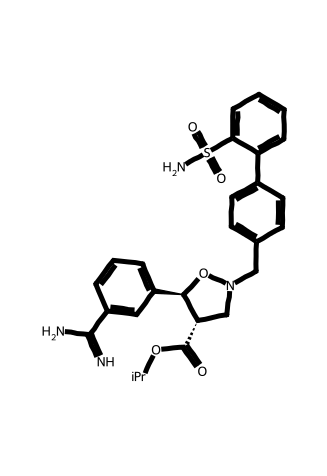 CC(C)OC(=O)[C@H]1CN(Cc2ccc(-c3ccccc3S(N)(=O)=O)cc2)O[C@@H]1c1cccc(C(=N)N)c1